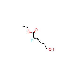 CCOC(=O)/C(F)=C/CCCO